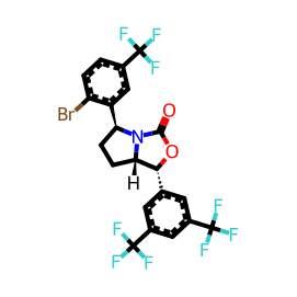 O=C1O[C@H](c2cc(C(F)(F)F)cc(C(F)(F)F)c2)[C@@H]2CC[C@@H](c3cc(C(F)(F)F)ccc3Br)N12